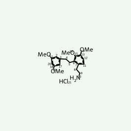 COc1cc(CCc2c(CCN)ccc(OC)c2OC)cc(OC)c1.Cl